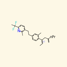 C=C(CCC)C/C(=C/C)c1ccc(CCc2ccc(C(C)(F)F)nc2C)cc1C